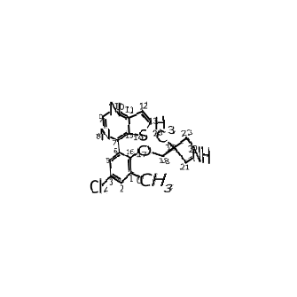 Cc1cc(Cl)cc(-c2ncnc3ccsc23)c1OCC1(C)CNC1